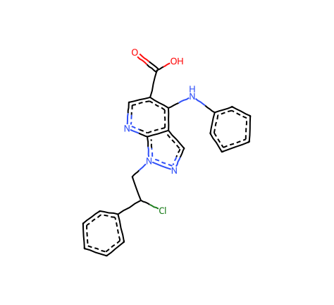 O=C(O)c1cnc2c(cnn2CC(Cl)c2ccccc2)c1Nc1ccccc1